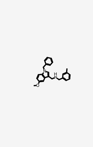 COc1ccc2c(c1)c(CNCc1cccc(C)c1)cn2Cc1ccccc1